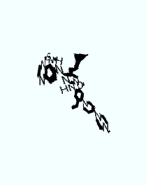 CCc1cc(Nc2ncc(/C=C/C3CC3)c(Nc3ccc4nccnc4c3N(C)SC)n2)c(OC)cc1N1CCC(N2CCN(C)CC2)CC1